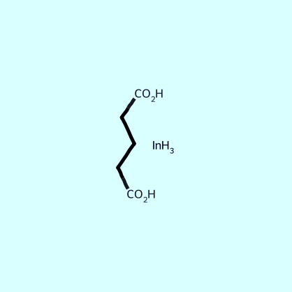 O=C(O)CCCC(=O)O.[InH3]